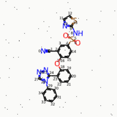 N#Cc1cc(S(=O)(=O)Nc2nccs2)ccc1Oc1ccccc1-c1nncn1-c1ccccc1